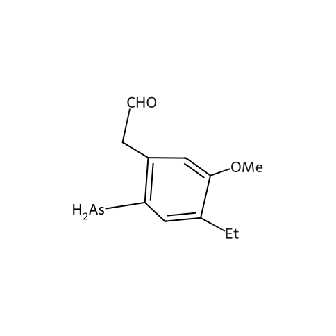 CCc1cc([AsH2])c(CC=O)cc1OC